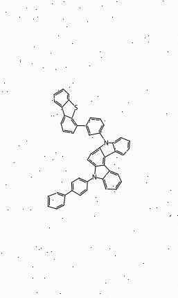 c1ccc(-c2ccc(-n3c4ccccc4c4c5c6ccccc6n(-c6cccc(-c7cccc8c7sc7ccccc78)c6)c5ccc43)cc2)cc1